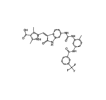 Cc1ccc(NC(=O)c2cccc(C(F)(F)F)c2)cc1NC(=O)Nc1ccc2c(c1)NC(=O)/C2=C\c1[nH]c(C)c(C(=O)O)c1C